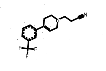 N#CCCN1CC=C(c2cccc(C(F)(F)F)c2)CC1